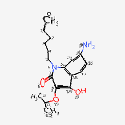 CCCCCCn1c(=O)c(OC(C)C)c(O)c2ccc(N)cc21